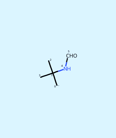 [CH2]C(C)(C)NC=O